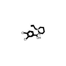 C=CCN1CCCC[C@H]1C(O)c1ccc(Cl)c(Cl)c1